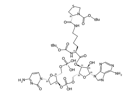 CC(C)(C)OC(=O)N[C@@H](CCCCNC(=O)[C@@H]1CSCN1C(=O)OC(C)(C)C)C(=O)O[C@H]1[C@@H](O)[C@H](n2cnc3c(N)ncnc32)O[C@@H]1COP(=O)(O)O[C@H]1C[C@H](n2ccc(N)nc2=O)O[C@@H]1COP(=O)(O)O